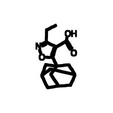 CCc1noc(C23CC4CC(CC(C4)C2)C3)c1C(=O)O